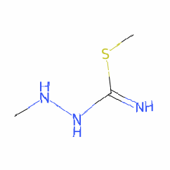 CNNC(=N)SC